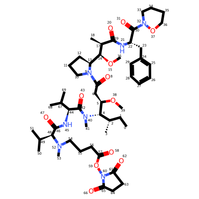 CC[C@H](C)[C@@H]([C@@H](CC(=O)N1CCC[C@H]1[C@H](OC)[C@@H](C)C(=O)N[C@@H](Cc1ccccc1)C(=O)N1CCCCO1)OC)N(C)C(=O)[C@@H](NC(=O)[C@H](C(C)C)N(C)CCCC(=O)ON1C(=O)CCC1=O)C(C)C